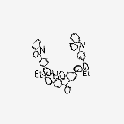 CCC(Oc1ccc(C(=O)c2ccc(OC(CC)Oc3ccc(-c4nc5ccccc5o4)cc3)cc2O)cc1)Oc1ccc(-c2nc3ccccc3o2)cc1